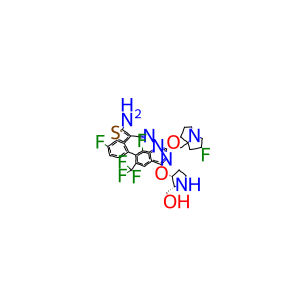 N#Cc1c(N)sc2c(F)ccc(-c3c(C(F)(F)F)cc4c(O[C@@H]5CCN[C@@H]5CO)nc(OCC56CCCN5C[C@H](F)C6)nc4c3F)c12